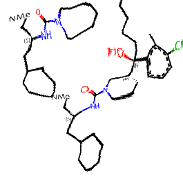 CNC[C@H](CC1CCCCC1)NC(=O)N1CCCCC1.CNC[C@H](CC1CCCCC1)NC(=O)N1CCC[C@@H]([C@](O)(CCCCOC)c2cccc(Cl)c2C)C1